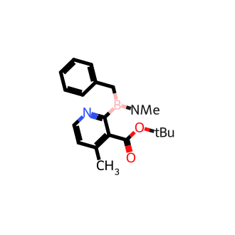 CNB(Cc1ccccc1)c1nccc(C)c1C(=O)OC(C)(C)C